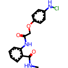 CNC(=O)c1ccccc1NC(=O)COc1ccc(NCl)cc1